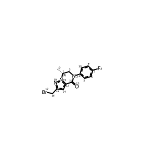 C[C@@H]1CN(c2ccc(F)cc2)C(=O)c2cc(CBr)nn21